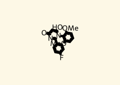 COc1cccc(OC)c1-n1c(O)cc(=O)nc1-c1ccc(F)cc1